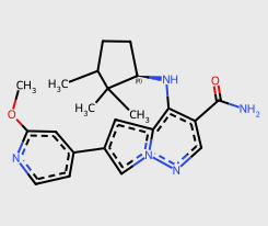 COc1cc(-c2cc3c(N[C@@H]4CCC(C)C4(C)C)c(C(N)=O)cnn3c2)ccn1